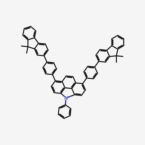 CC1(C)c2ccccc2-c2ccc(-c3ccc(-c4ccc5c6c4ccc4c(-c7ccc(-c8ccc9c(c8)C(C)(C)c8ccccc8-9)cc7)ccc(c46)n5-c4ccccc4)cc3)cc21